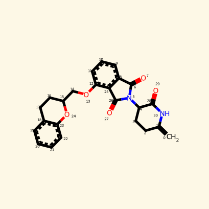 C=C1CCC(N2C(=O)c3cccc(OCC4CCc5ccccc5O4)c3C2=O)C(=O)N1